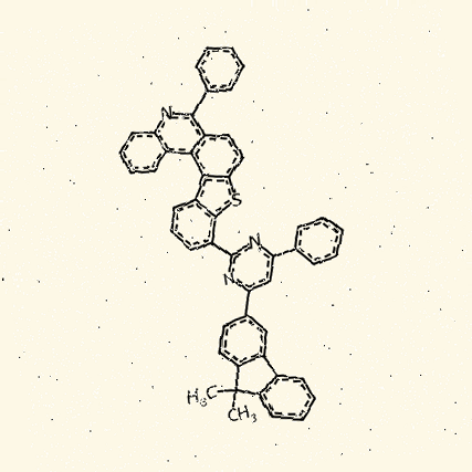 CC1(C)c2ccccc2-c2cc(-c3cc(-c4ccccc4)nc(-c4cccc5c4sc4ccc6c(-c7ccccc7)nc7ccccc7c6c45)n3)ccc21